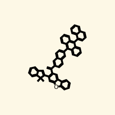 C=C(c1ccc2cc(-c3c4ccccc4c(-c4cccc5ccccc45)c4ccccc34)ccc2c1)c1cc2c(cc1C1=Cc3ccccc3C1(C)C)oc1ccccc12